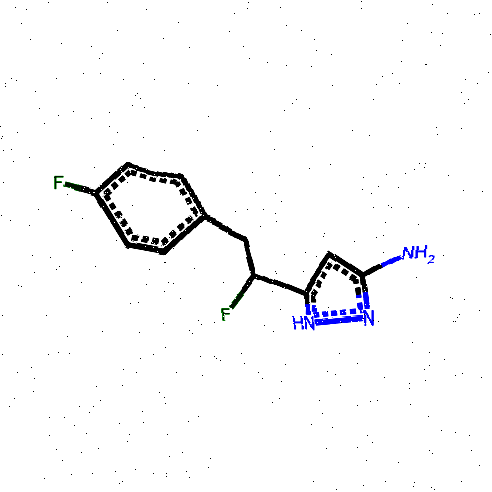 Nc1cc(C(F)Cc2ccc(F)cc2)[nH]n1